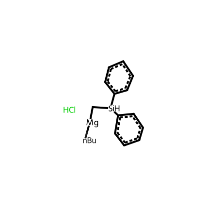 CCC[CH2][Mg][CH2][SiH](c1ccccc1)c1ccccc1.Cl